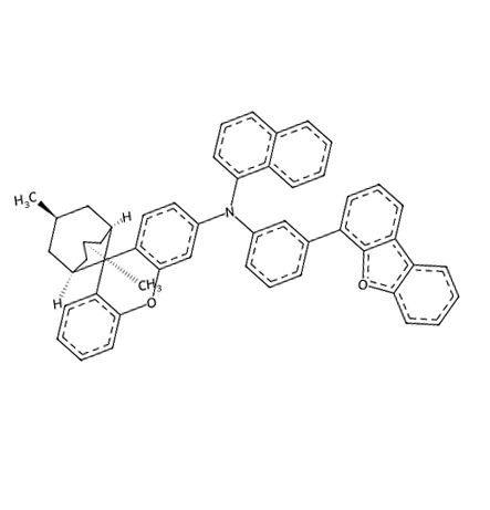 C[C@H]1C[C@@H]2C[C@@H](C)C[C@H](C1)C21c2ccccc2Oc2cc(N(c3cccc(-c4cccc5c4oc4ccccc45)c3)c3cccc4ccccc34)ccc21